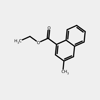 CCOC(=O)c1cc(C)cc2ccccc12